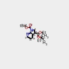 CCOB(OC(C)(C)CC)c1cn(C(=O)OC(C)(C)C)c2ncccc12